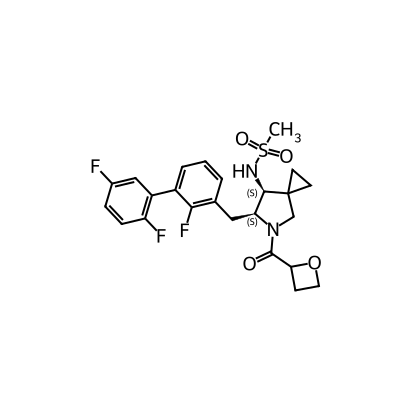 CS(=O)(=O)N[C@@H]1[C@H](Cc2cccc(-c3cc(F)ccc3F)c2F)N(C(=O)C2CCO2)CC12CC2